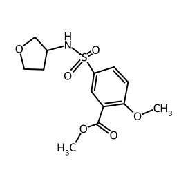 COC(=O)c1cc(S(=O)(=O)NC2CCOC2)ccc1OC